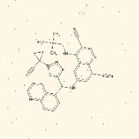 CC(C)(C)CNc1c(C#N)cnc2c(C#N)cc(NC(c3cn(C4(C#N)CC4)nn3)c3cccc4ncccc34)cc12